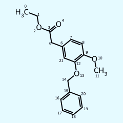 CCOC(=O)Cc1ccc(OC)c(OCc2ccccc2)c1